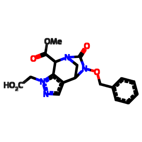 COC(=O)C1c2c(cnn2CC(=O)O)C2CN1C(=O)N2OCc1ccccc1